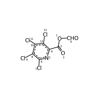 O=COC(=O)c1nc(Cl)c(Cl)c(Cl)c1Cl